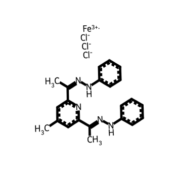 CC(=NNc1ccccc1)c1cc(C)cc(C(C)=NNc2ccccc2)n1.[Cl-].[Cl-].[Cl-].[Fe+3]